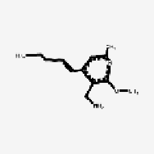 CCCC=Cc1cc(C)nc(OC)c1CN